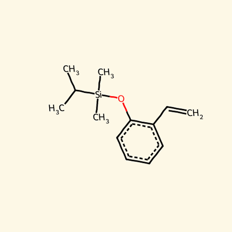 C=Cc1ccccc1O[Si](C)(C)C(C)C